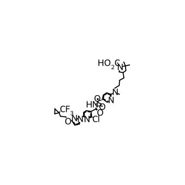 CN(CCCCC1CN(C(=O)O)C(C)(C)C1)c1ccc(S(=O)(=O)NC(=O)c2ccc(-n3ccc(OCCC4(C(F)(F)F)CC4)n3)nc2Cl)cn1